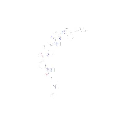 COc1cccc2c1ccn2-c1ccnc(Nc2cccc(NC(=O)c3cccc(NC(=O)/C=C/CN4CCOCC4)c3)c2)n1